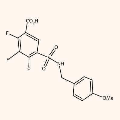 COc1ccc(CNS(=O)(=O)c2cc(C(=O)O)c(F)c(F)c2F)cc1